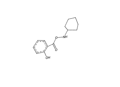 O=C(ONC1CCCCC1)c1ccccc1O